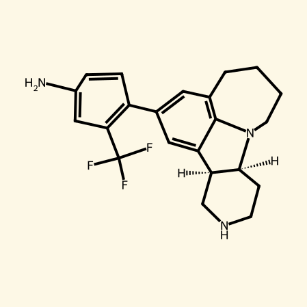 Nc1ccc(-c2cc3c4c(c2)[C@@H]2CNCC[C@@H]2N4CCCC3)c(C(F)(F)F)c1